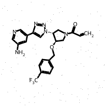 C=CC(=O)N1C[C@@H](n2cc(-c3cncc(N)c3)nn2)[C@H](OCc2ccc(C(F)(F)F)cc2)C1